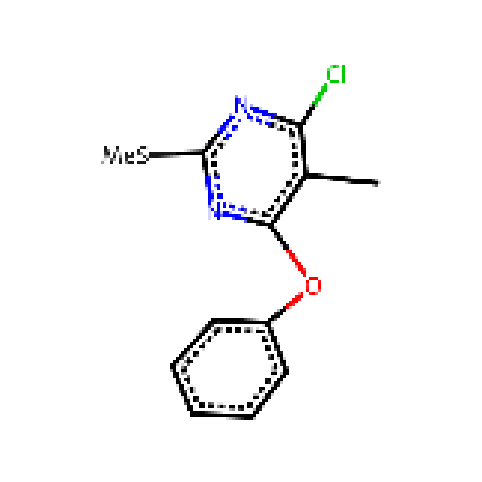 CSc1nc(Cl)c(C)c(Oc2ccccc2)n1